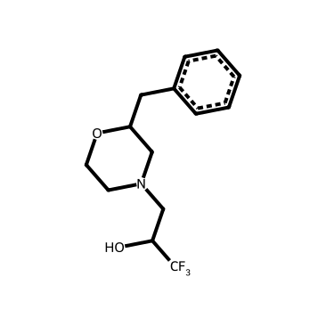 OC(CN1CCOC(Cc2ccccc2)C1)C(F)(F)F